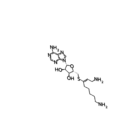 NCC=C(CCCCCN)SC[C@H]1O[C@@H](n2cnc3c(N)ncnc32)[C@H](O)[C@@H]1O